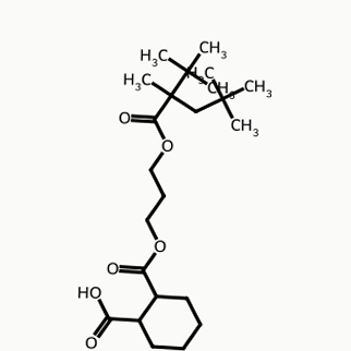 CC(C)(C)CC(C)(C(=O)OCCCOC(=O)C1CCCCC1C(=O)O)C(C)(C)C